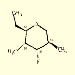 CC[C@H]1OC[C@@H](C)[C@H](F)[C@@H]1C